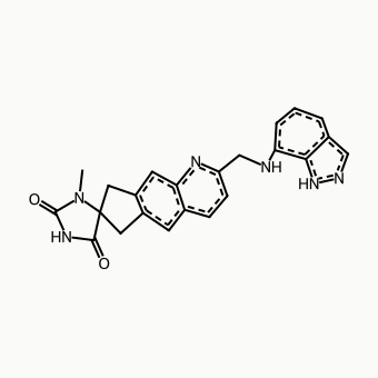 CN1C(=O)NC(=O)C12Cc1cc3ccc(CNc4cccc5cn[nH]c45)nc3cc1C2